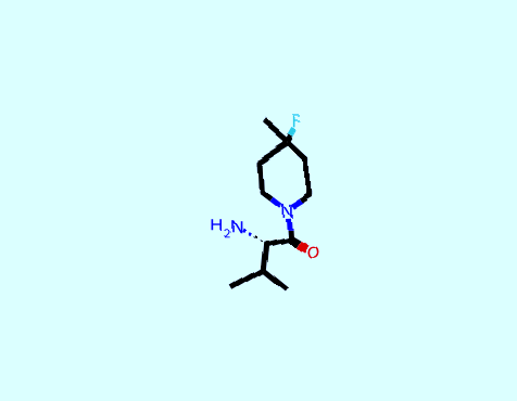 CC(C)[C@H](N)C(=O)N1CCC(C)(F)CC1